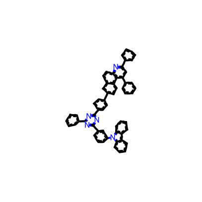 c1ccc(-c2cc(-c3ccccc3)c3c(ccc4cc(-c5ccc(-c6nc(-c7ccccc7)nc(-c7cccc(-n8c9ccccc9c9ccccc98)c7)n6)cc5)ccc43)n2)cc1